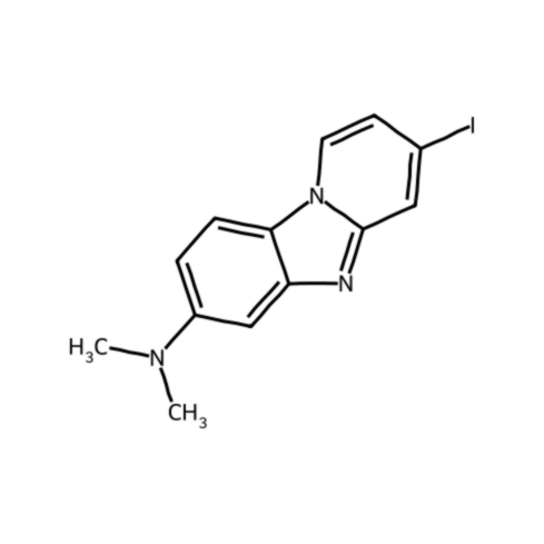 CN(C)c1ccc2c(c1)nc1cc(I)ccn12